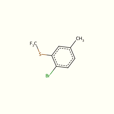 Cc1ccc(Br)c(SC(F)(F)F)c1